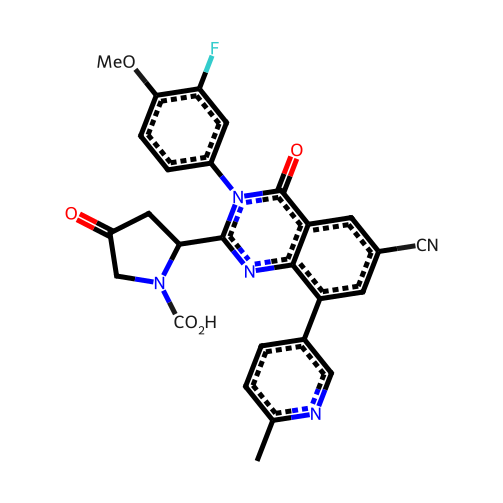 COc1ccc(-n2c(C3CC(=O)CN3C(=O)O)nc3c(-c4ccc(C)nc4)cc(C#N)cc3c2=O)cc1F